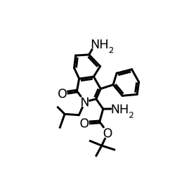 CC(C)Cn1c(C(N)C(=O)OC(C)(C)C)c(-c2ccccc2)c2cc(N)ccc2c1=O